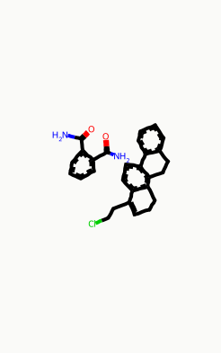 ClCCC1=CCCc2c1ccc1c2CCc2ccccc2-1.NC(=O)c1ccccc1C(N)=O